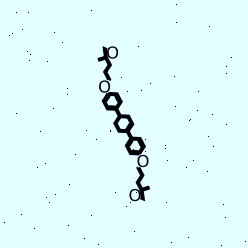 CC1(CCCOc2ccc(C3=CCC(c4ccc(OCCCC5(C)CO5)cc4)CC3)cc2)CO1